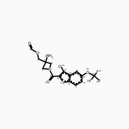 NC1(COC=O)CN(C(=O)c2sc3ccc(OC(F)(F)F)cc3c2Cl)C1